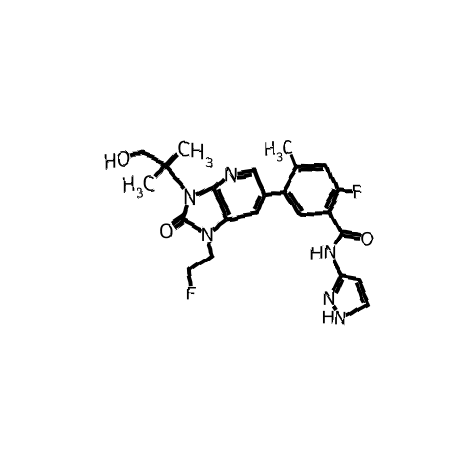 Cc1cc(F)c(C(=O)Nc2cc[nH]n2)cc1-c1cnc2c(c1)n(CCF)c(=O)n2C(C)(C)CO